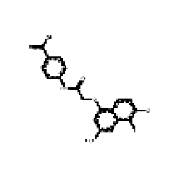 NC(=O)c1ccc(NC(=O)COc2cc(C(=O)O)cc3c(Cl)c(Cl)ccc23)cc1